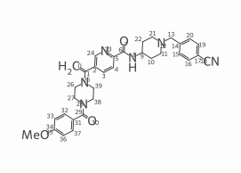 C=C(c1ccc(C(=O)NC2CCN(Cc3ccc(C#N)cc3)CC2)nc1)N1CCN(C(=O)c2ccc(OC)cc2)CC1